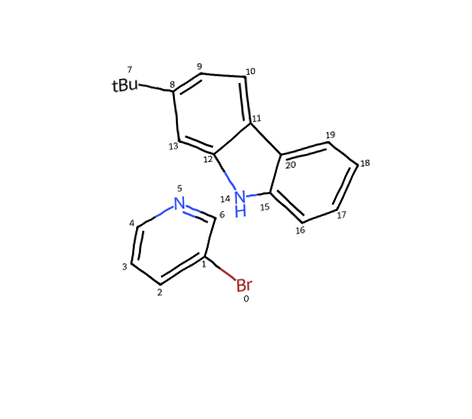 Brc1cccnc1.CC(C)(C)c1ccc2c(c1)[nH]c1ccccc12